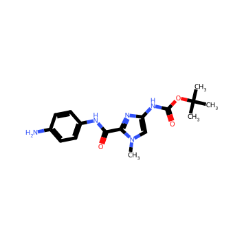 Cn1cc(NC(=O)OC(C)(C)C)nc1C(=O)Nc1ccc(N)cc1